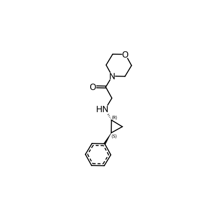 O=C(CN[C@@H]1C[C@H]1c1ccccc1)N1CCOCC1